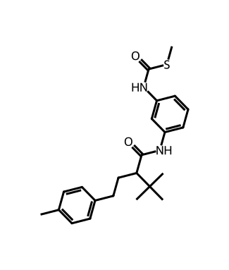 CSC(=O)Nc1cccc(NC(=O)C(CCc2ccc(C)cc2)C(C)(C)C)c1